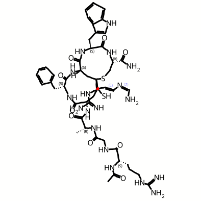 CC(=O)N[C@@H](CCCNC(=N)N)C(=O)NCC(=O)N[C@H](C)C(=O)N[C@H]1CC(S)(/C=C/N=C\N)C2(CNC(=N)N)C[C@H](NC(=O)[C@@H](Cc3ccccc3)NC1=O)C(=O)N[C@@H](Cc1c[nH]c3ccccc13)C(=O)N[C@H](C(N)=O)CS2